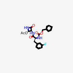 CC(=O)O[C@@H]1NC(=O)[C@H]1NC(=O)[C@H](Cc1cccc(F)c1)NC(=O)OCc1ccccc1